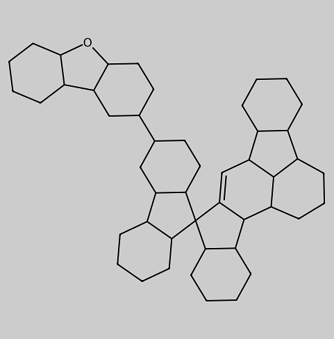 C1=C2C(C3CCCC4C5CCCCC5C1C43)C1CCCCC1C21C2CCCCC2C2CC(C3CCC4OC5CCCCC5C4C3)CCC21